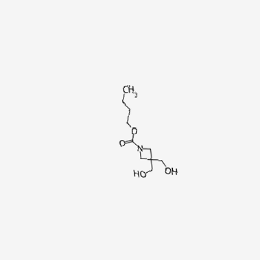 CCCCOC(=O)N1CC(CO)(CO)C1